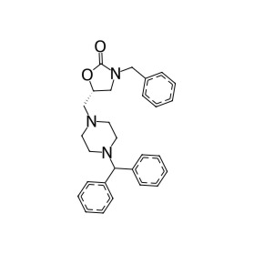 O=C1O[C@@H](CN2CCN(C(c3ccccc3)c3ccccc3)CC2)CN1Cc1ccccc1